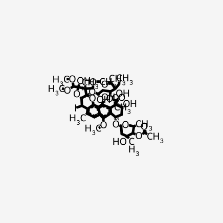 CCC(O)(C(C)=O)C(CC(O)O[C@@]12Oc3c(c(C)cc4c(OC)c5c(c(O)c34)C(=O)[C@@H](O)C[C@@H]5OC3CC(C)(O)C(OC(C)=O)C(C)O3)C(I)C1OC(O)(C(OC)OC)[C@]2(C)COC)OC(C)=O